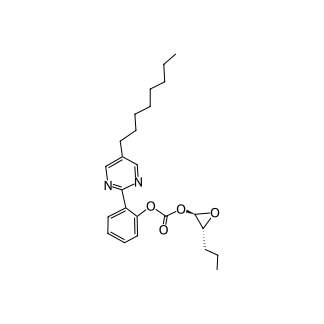 CCCCCCCCc1cnc(-c2ccccc2OC(=O)O[C@H]2O[C@@H]2CCC)nc1